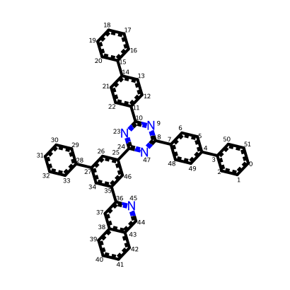 c1ccc(-c2ccc(-c3nc(-c4ccc(-c5ccccc5)cc4)nc(-c4cc(-c5ccccc5)cc(-c5cc6ccccc6cn5)c4)n3)cc2)cc1